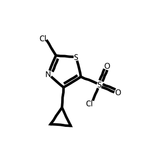 O=S(=O)(Cl)c1sc(Cl)nc1C1CC1